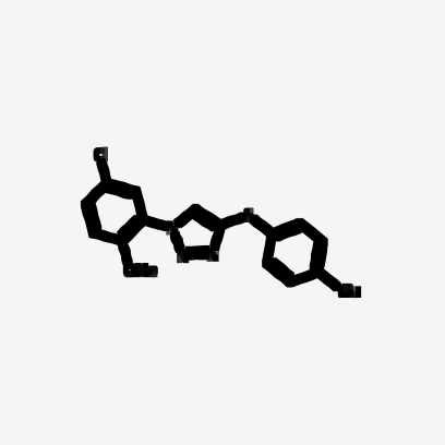 COc1ccc(Cl)cc1-n1cc(Sc2ccc(C(C)(C)C)cc2)nn1